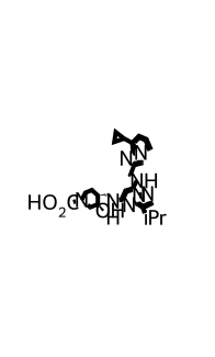 CC(C)c1cnn2c(NCc3cn4cccc(C5CC5)c4n3)cc(NC[C@H]3CCN(C(=O)O)C[C@@H]3O)nc12